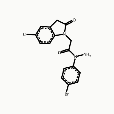 NN(C(=O)CN1C(=O)Cc2cc(Cl)ccc21)c1ccc(Br)cc1